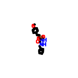 COc1ccc(C=CS(=O)(=O)NC(=O)NCC2CC3C=CC2C3)cc1